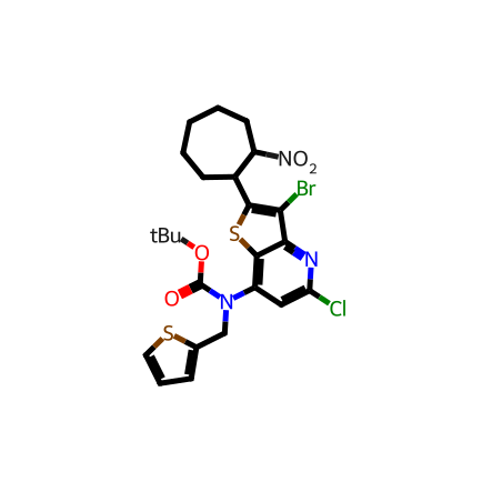 CC(C)(C)OC(=O)N(Cc1cccs1)c1cc(Cl)nc2c(Br)c(C3CCCCCC3[N+](=O)[O-])sc12